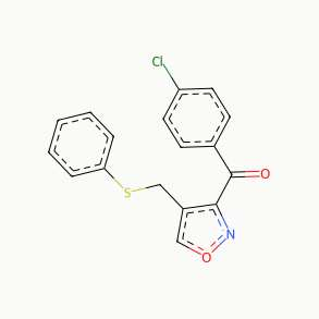 O=C(c1ccc(Cl)cc1)c1nocc1CSc1ccccc1